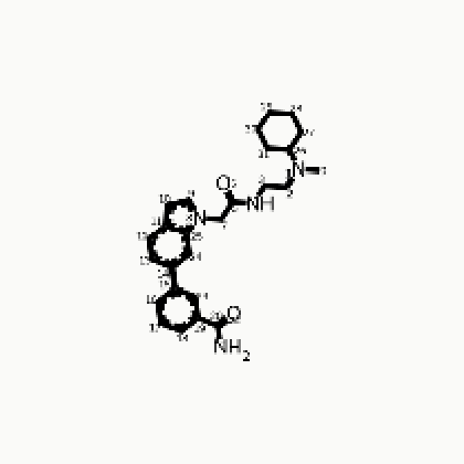 CN(CCNC(=O)Cn1ccc2ccc(-c3cccc(C(N)=O)c3)cc21)C1CCCCC1